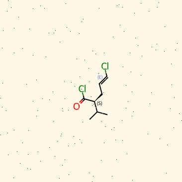 CC(C)[C@H](C/C=C/Cl)C(=O)Cl